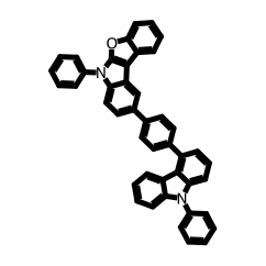 c1ccc(-n2c3ccccc3c3c(-c4ccc(-c5ccc6c(c5)c5c7ccccc7oc5n6-c5ccccc5)cc4)cccc32)cc1